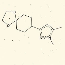 Cc1cc(C2CCC3(CC2)OCCO3)nn1C